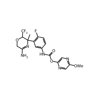 COc1cnc(OC(=O)Nc2ccc(F)c(C3(C)N=C(N)COC3C(F)(F)F)c2)cn1